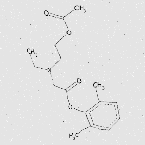 CCN(CCOC(C)=O)CC(=O)Oc1c(C)cccc1C